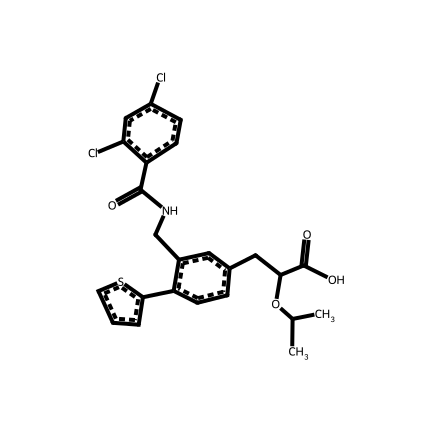 CC(C)OC(Cc1ccc(-c2cccs2)c(CNC(=O)c2ccc(Cl)cc2Cl)c1)C(=O)O